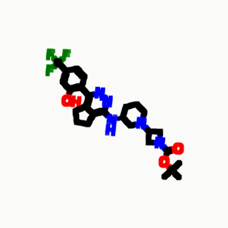 CC(C)(C)OC(=O)N1CC(N2CCC[C@@H](Nc3nnc(-c4ccc(C(F)(F)F)cc4O)c4c3CCC4)C2)C1